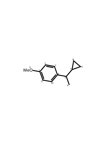 COc1ccc(C(C)C2CC2)cc1